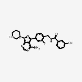 N#Cc1cccc(C(=O)NCc2ccc(-c3nn([C@@H]4CCCNC4)c4ncnc(N)c34)cc2F)c1